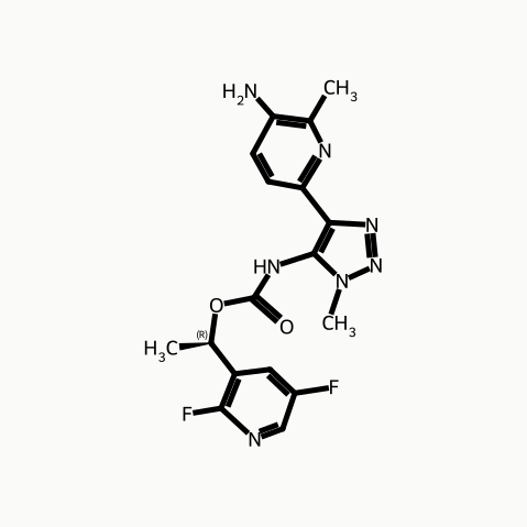 Cc1nc(-c2nnn(C)c2NC(=O)O[C@H](C)c2cc(F)cnc2F)ccc1N